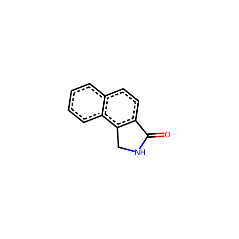 O=C1NCc2c1ccc1ccccc21